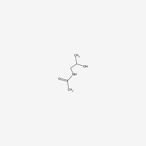 [CH2]C(=O)NCC(C)O